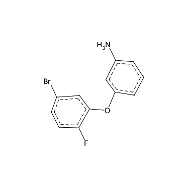 Nc1cccc(Oc2cc(Br)ccc2F)c1